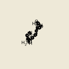 CN1CCN([C@@H]2CCCN(c3cnc(C(N)=O)c(Nc4ccc(C5CCN(CC6CCC(n7ccc8c9c(C%10CCC(=O)NC%10=O)noc9ccc87)C6)CC5)cc4)n3)C2)C1=O